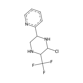 FC(F)(F)C1NCC(c2ccccn2)NC1Cl